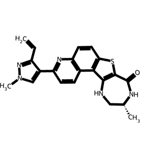 C=Cc1nn(C)cc1-c1ccc2c(ccc3sc4c(c32)NC[C@@H](C)NC4=O)n1